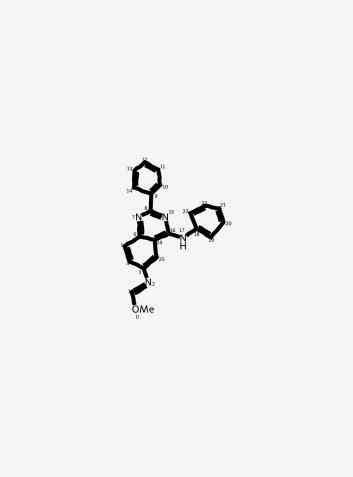 COC=Nc1ccc2nc(-c3ccccc3)nc(Nc3ccccc3)c2c1